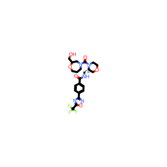 O=C(NC[C@H]1COCCN1C(=O)N1CCCOC(CO)C1)c1ccc(-c2noc(C(F)(F)F)n2)cc1